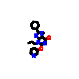 CCCn1c(Oc2cccnc2)nc(=O)c2c1N=C(C1CCCCC1)[N]2